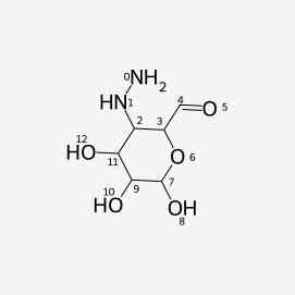 NNC1C(C=O)OC(O)C(O)C1O